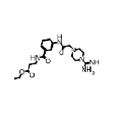 CCOC(=O)CCNC(=O)c1cccc(NC(=O)CN2CCN(C(=N)N)CC2)c1